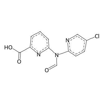 O=CN(c1ccc(Cl)cn1)c1cccc(C(=O)O)n1